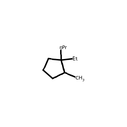 CCCC1(CC)CCC[C]1C